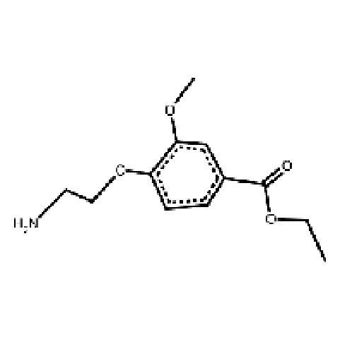 CCOC(=O)c1ccc(OCCN)c(OC)c1